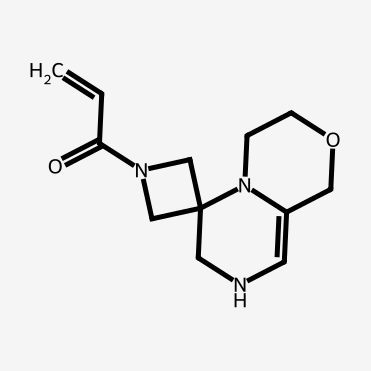 C=CC(=O)N1CC2(CNC=C3COCCN32)C1